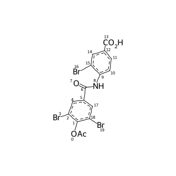 CC(=O)Oc1c(Br)cc(C(=O)Nc2ccc(C(=O)O)cc2Br)cc1Br